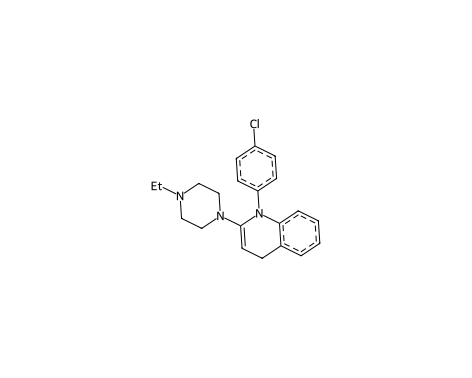 CCN1CCN(C2=CCc3ccccc3N2c2ccc(Cl)cc2)CC1